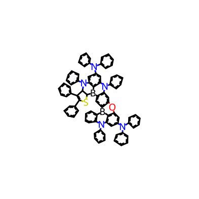 c1ccc(C2=C(c3ccccc3)C3C(S2)B2c4cc5c(cc4N(c4ccccc4)c4cc(N(c6ccccc6)c6ccccc6)cc(c42)N3c2ccccc2)Oc2cc(N(c3ccccc3)c3ccccc3)cc3c2B5c2ccccc2N3c2ccccc2)cc1